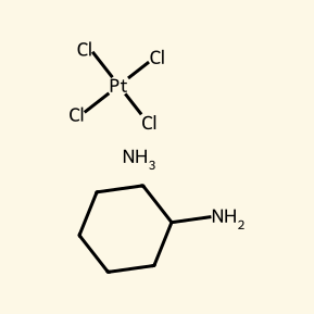 N.NC1CCCCC1.[Cl][Pt]([Cl])([Cl])[Cl]